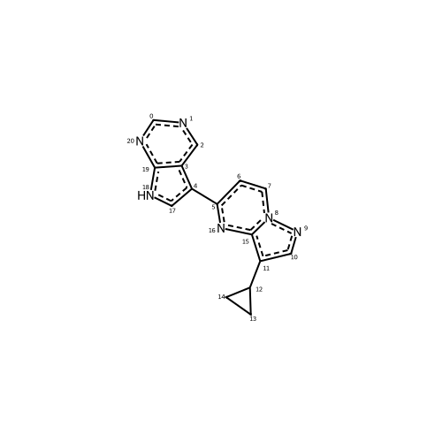 c1ncc2c(-c3ccn4ncc(C5CC5)c4n3)c[nH]c2n1